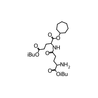 CC(C)COC(=O)CCC(NC(=O)CCC(N)C(=O)OCC(C)C)C(=O)OC1CCCCCC1